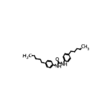 CCCCCc1ccc(NC(=O)Nc2ccc(CCCCC)cc2)cc1